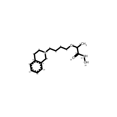 CC(OCCCCN1CCc2ccccc2C1)C(=O)NO